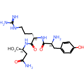 N=C(N)NCCC[C@H](NC(=O)[C@@H](N)Cc1ccc(O)cc1)C(=O)N[C@@H](CC(N)=O)C(=O)O